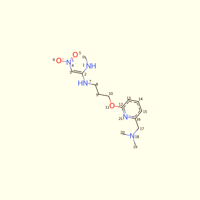 CNC(=C[N+](=O)[O-])NCCCOc1cccc(CN(C)C)n1